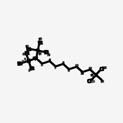 CC[Si](CC)(CC)N(CCCCCCCC[Si](C)(Cl)Cl)[Si](CC)(CC)CC